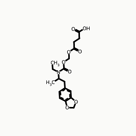 CCN(C(=O)OCOC(=O)CCC(=O)O)C(C)Cc1ccc2c(c1)OCO2